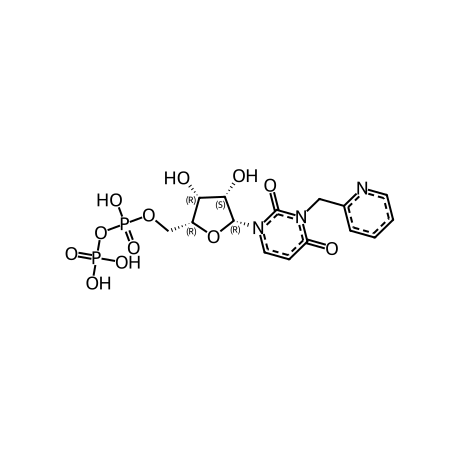 O=c1ccn([C@@H]2O[C@H](COP(=O)(O)OP(=O)(O)O)[C@H](O)[C@@H]2O)c(=O)n1Cc1ccccn1